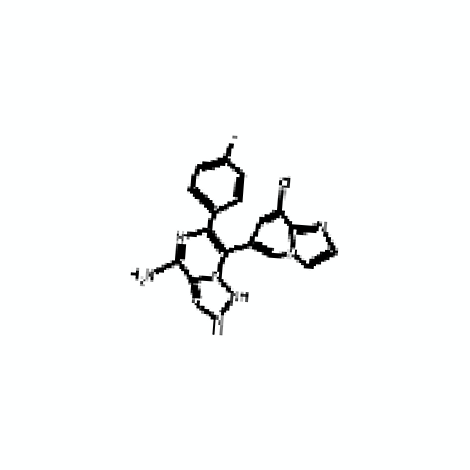 NC1=NC(c2ccc(F)cc2)=C(c2cc(Cl)c3nccn3c2)N2NNN=C12